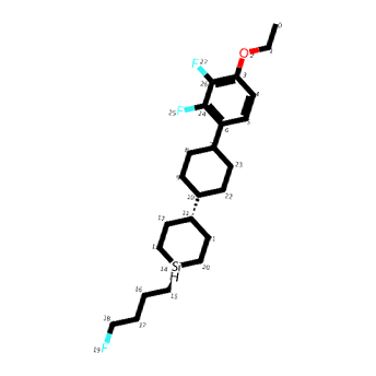 CCOc1ccc(C2CCC([C@H]3CC[Si@H](CCCCF)CC3)CC2)c(F)c1F